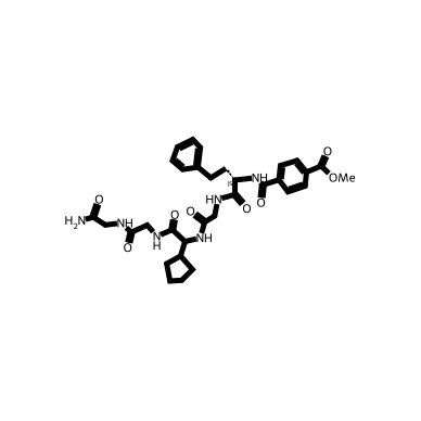 COC(=O)c1ccc(C(=O)N[C@@H](CCc2ccccc2)C(=O)NCC(=O)NC(C(=O)NCC(=O)NCC(N)=O)C2CCCC2)cc1